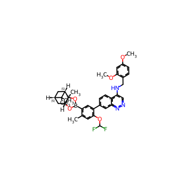 COc1ccc(CNc2cnnc3cc(-c4cc(B5O[C@@H]6C[C@@H]7C[C@@H](C7(C)C)[C@]6(C)O5)c(C)cc4OC(F)F)ccc23)c(OC)c1